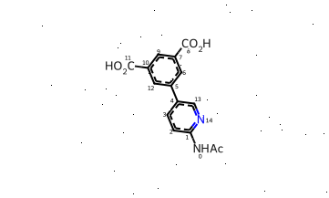 CC(=O)Nc1ccc(-c2cc(C(=O)O)cc(C(=O)O)c2)cn1